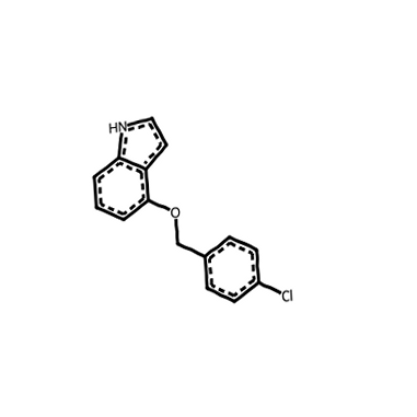 Clc1ccc(COc2cccc3[nH]ccc23)cc1